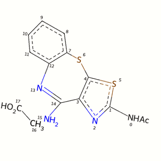 CC(=O)Nc1nc2c(s1)Sc1ccccc1N=C2N.CC(=O)O